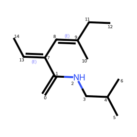 C=C(NCC(C)C)C(/C=C(\C)CC)=C/C